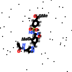 C#CC(=O)NCc1cnn(Cc2cc(OC)c3c(NS(=O)(=O)c4ccc(C(=O)OC)cc4)noc3c2)c1